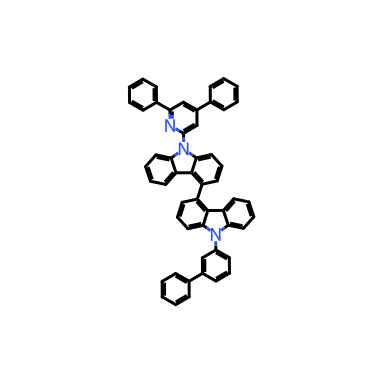 c1ccc(-c2cccc(-n3c4ccccc4c4c(-c5cccc6c5c5ccccc5n6-c5cc(-c6ccccc6)cc(-c6ccccc6)n5)cccc43)c2)cc1